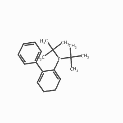 CC(C)(C)P(C1=CCCC=C1c1ccccc1)C(C)(C)C